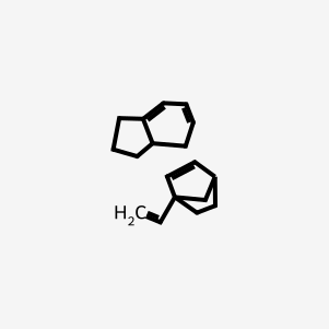 C1=CCC2CCCC2=C1.C=CC12C=CC(CC1)C2